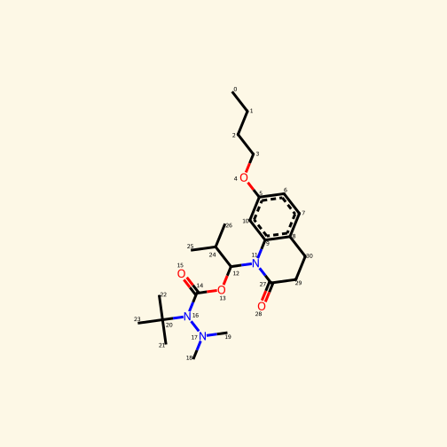 CCCCOc1ccc2c(c1)N(C(OC(=O)N(N(C)C)C(C)(C)C)C(C)C)C(=O)CC2